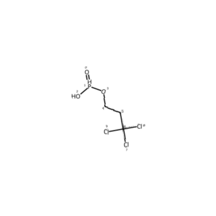 O=[PH](O)OCCC(Cl)(Cl)Cl